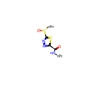 CCCC[S+]([O-])c1nnc(C(=O)NCCC)s1